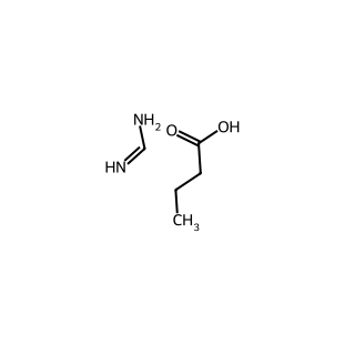 CCCC(=O)O.N=CN